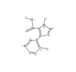 COC(=O)c1c(-c2nnccc2C)cnn1C